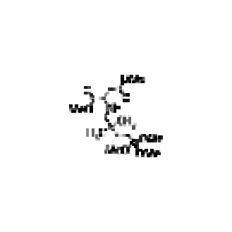 COC(=O)C[C@H](NCC(C)(C)CC[Si](OC)(OC)OC)C(=O)OC